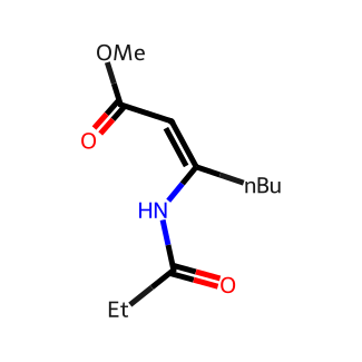 CCCCC(=CC(=O)OC)NC(=O)CC